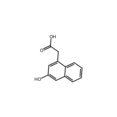 O=C(O)Cc1cc(O)cc2ccccc12